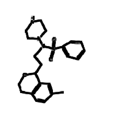 Cc1ccc2c(c1)C(CCN(N1CCNCC1)S(=O)(=O)c1ccccc1)OCC2